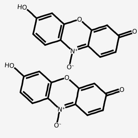 O=c1ccc2[n+]([O-])c3ccc(O)cc3oc-2c1.O=c1ccc2[n+]([O-])c3ccc(O)cc3oc-2c1